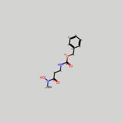 CCCCN(O)C(=O)CCNC(=O)OCc1ccccc1